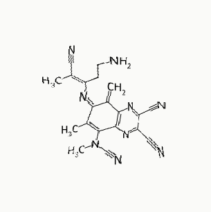 C=C1/C(=N\C(CCN)=C(/C)C#N)C(C)=C(N(C)C#N)c2nc(C#N)c(C#N)nc21